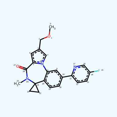 COCc1cc2n(c1)-c1cc(-c3ccc(F)cn3)ccc1C1(CC1)N(C)C2=O